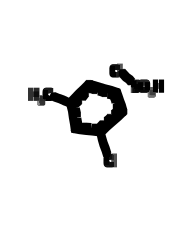 Cc1cccc(Cl)c1.O=S(=O)(O)Cl